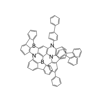 c1ccc(-c2ccc(N(c3ccc(-c4ccccc4)cc3)c3cc4c5c(c3-n3c6ccc(-c7ccccc7)cc6c6cc(-c7ccccc7)ccc63)B3c6ccccc6-c6cccc(c63)N5c3cccc5c3B4c3ccccc3-5)cc2)cc1